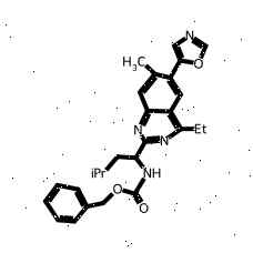 CCc1nc(C(CC(C)C)NC(=O)OCc2ccccc2)nc2cc(C)c(-c3cnco3)cc12